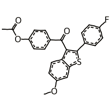 COc1ccc2c(C(=O)c3ccc(OC(C)=O)cc3)c(-c3ccc(F)cc3)sc2c1